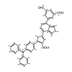 CCCCCCCCc1cc(-c2ccc(-c3cc(C=O)cc(C=O)c3)c3nsnc23)sc1-c1ccc(N(c2ccccc2)c2ccccc2)cc1